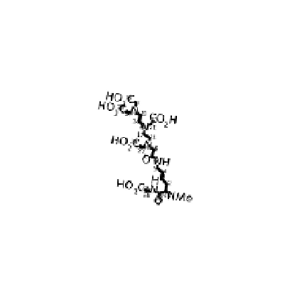 CNC(CCCCNC(=O)CN(CCN(CCN(CC(=O)O)CC(=O)O)CC(=O)O)CC(=O)O)C(=O)NCC(=O)O